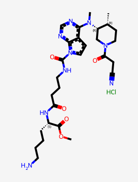 COC(=O)[C@H](CCCCN)NC(=O)CCCNC(=O)n1ccc2c(N(C)[C@H]3CN(C(=O)CC#N)CC[C@H]3C)ncnc21.Cl